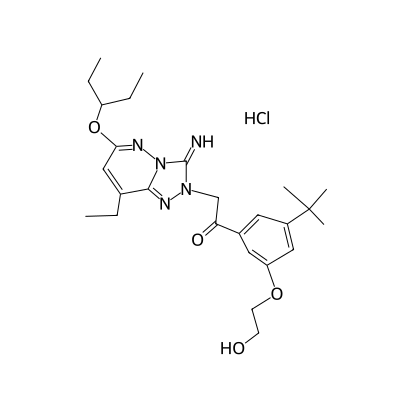 CCc1cc(OC(CC)CC)nn2c(=N)n(CC(=O)c3cc(OCCO)cc(C(C)(C)C)c3)nc12.Cl